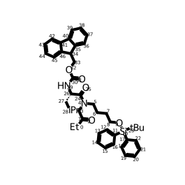 CCC(=O)CN(CCCCO[Si](c1ccccc1)(c1ccccc1)C(C)(C)C)C(=O)[C@H](CC(C)C)NC(=O)OCC1c2ccccc2-c2ccccc21